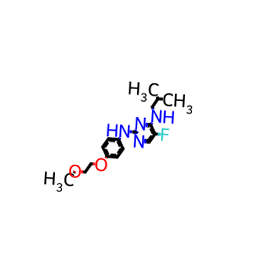 COCCOc1ccc(Nc2ncc(F)c(NCC(C)C)n2)cc1